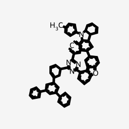 Cc1ccc(N2c3ccc(-c4ccc5oc6cccc(-c7nc(-c8ccccc8)nc(C8C=CC=C(c9cc(-c%10ccccc%10)cc(-c%10ccccc%10)c9)C8)n7)c6c5c4)cc3C3C=CC=CC32)cc1